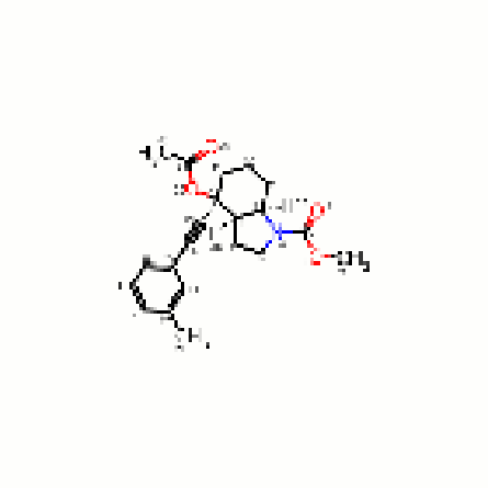 COC(=O)N1CC[C@@H]2[C@H]1CCC[C@]2(C#Cc1cccc(C)c1)OC(C)=O